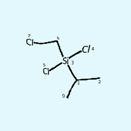 CC(C)[Si](Cl)(Cl)CCl